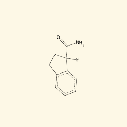 NC(=O)C1(F)CCc2ccccc21